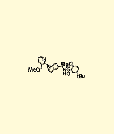 COCc1cccnc1-n1ccc2cc(C(=O)NS(=O)(=O)c3cc(C(C)(C)C)ccc3OC)ccc21